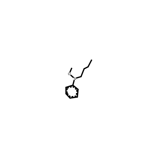 CCCC[Si](OC)c1ccccc1